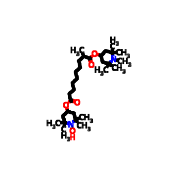 CC(CCCCCCCC(=O)OC1CC(C)(C)N(O)C(C)(C)C1)C(=O)OC1CC(C)(C)N(C)C(C)(C)C1